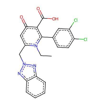 CCn1c(Cn2nc3ccccc3n2)cc(=O)c(C(=O)O)c1-c1ccc(Cl)c(Cl)c1